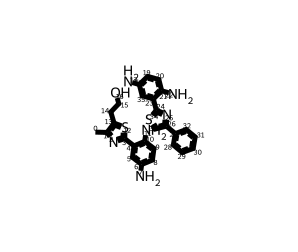 Cc1nc(-c2cc(N)ccc2N)sc1CCO.Nc1ccc(N)c(-c2nc(-c3ccccc3)cs2)c1